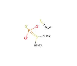 CCCCCCS(CCCCCC)=P([O-])([O-])[S-].[S]=[Mo+3]